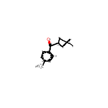 CC1(C)CC(C(=O)c2ccc(C(=O)O)cc2)C1